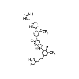 CC(=N)NCC[C@@H]1CCC[C@@H](c2ccc(-n3cc4cc(-c5cc(CCC[C@@H](N)CF)cc(C(F)(F)F)c5F)[nH]c4nc3=O)cc2OC(F)(F)F)N1